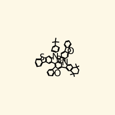 CC(C)(C)c1ccc(N2B3c4cc5c(cc4-n4c6cc7c(cc6c6c8oc9ccccc9c8c(c3c64)-c3cc4c(cc32)sc2ccccc24)C(C)(C)CCC7(C)C)oc2ccccc25)cc1